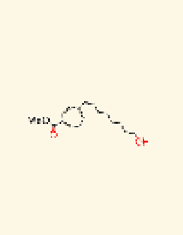 COC(=O)C1=CCC=C(/C=C\CCCCCCO)C=C1